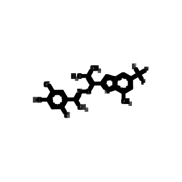 CC(C)=C(O/N=C(\C)c1cc(Cl)c(O)cc1Cl)c1cn2cc(C(F)(F)F)cc(C)c2n1